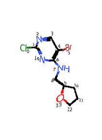 Clc1ncc(Br)c(NCC2CCCO2)n1